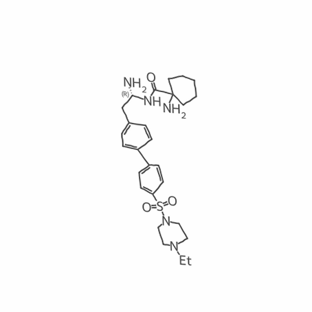 CCN1CCN(S(=O)(=O)c2ccc(-c3ccc(C[C@H](N)NC(=O)C4(N)CCCCC4)cc3)cc2)CC1